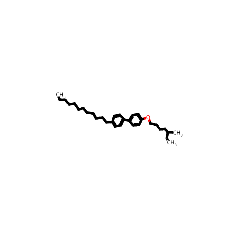 CCCCCCCCCCCCc1ccc(-c2ccc(OCCCCC(C)CC)cc2)cc1